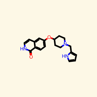 O=c1[nH]ccc2cc(OC3CCN(Cc4ccc[nH]4)CC3)ccc12